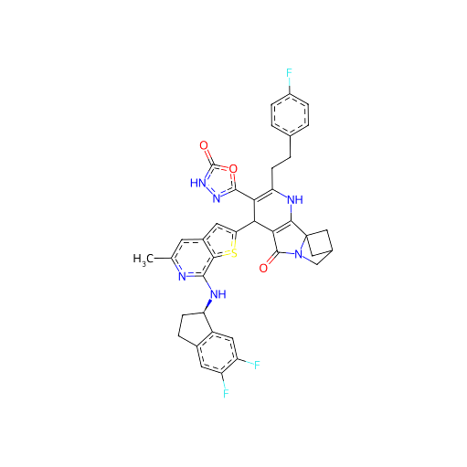 Cc1cc2cc(C3C4=C(NC(CCc5ccc(F)cc5)=C3c3n[nH]c(=O)o3)C35CC(CN3C4=O)C5)sc2c(N[C@@H]2CCc3cc(F)c(F)cc32)n1